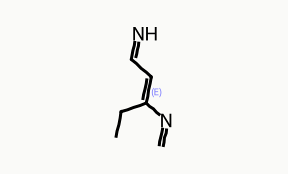 C=N/C(=C/C=N)CC